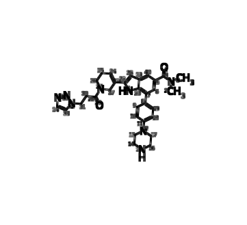 CN(C)C(=O)c1cc(-c2ccc(N3CCNCC3)cc2)c2[nH]c(C3=CCCN(C(=O)CCn4ccnn4)C3)cc2c1